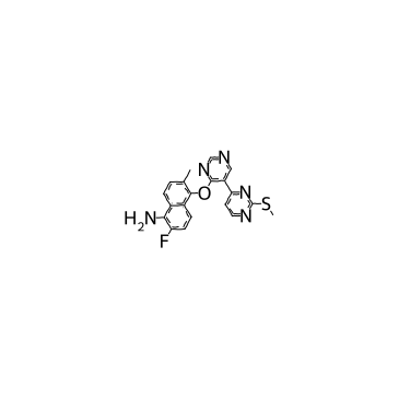 CSc1nccc(-c2cncnc2Oc2c(C)ccc3c(N)c(F)ccc23)n1